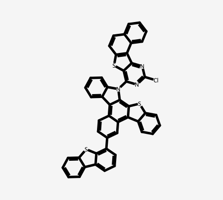 Clc1nc(-n2c3ccccc3c3c4ccc(-c5cccc6c5sc5ccccc56)cc4c4c5ccccc5sc4c32)c2sc3ccc4ccccc4c3c2n1